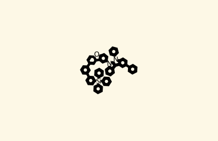 C1=CC2Oc3ccc(-n4c5ccccc5c5c6cc(-c7ccccc7)ccc6n(-c6ccccc6)c54)cc3C2C=C1c1cccc(-c2cccc([Si](c3ccccc3)(c3ccccc3)c3ccccc3)c2)c1